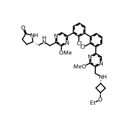 CCO[C@H]1C[C@H](NCc2ncc(-c3cccc(-c4cccc(-c5cnc(CNC[C@@H]6CCC(=O)N6)c(OC)n5)c4Cl)c3Cl)nc2OC)C1